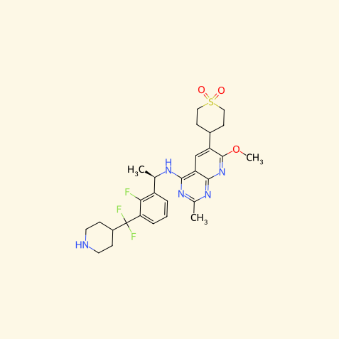 COc1nc2nc(C)nc(N[C@H](C)c3cccc(C(F)(F)C4CCNCC4)c3F)c2cc1C1CCS(=O)(=O)CC1